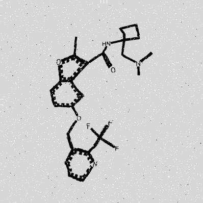 Cc1oc2ccc(OCc3cccnc3C(F)(F)F)cc2c1C(=O)NC1(CN(C)C)CCC1